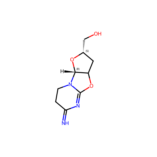 N=C1CCN2C(=N1)OC1C[C@@H](CO)O[C@H]12